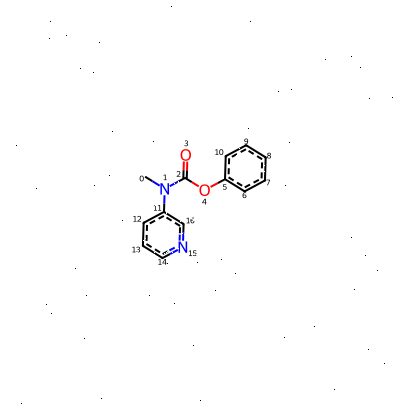 CN(C(=O)Oc1ccccc1)c1cccnc1